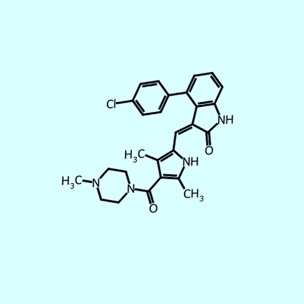 Cc1[nH]c(/C=C2\C(=O)Nc3cccc(-c4ccc(Cl)cc4)c32)c(C)c1C(=O)N1CCN(C)CC1